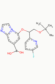 CC(C)(C)[Si](C)(C)OCC(Oc1cc(B(O)O)cc2nccn12)c1ccc(F)cn1